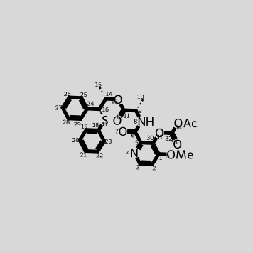 COc1ccnc(C(=O)N[C@@H](C)C(=O)O[C@@H](C)[C@H](Sc2ccccc2)c2ccccc2)c1OC(=O)OC(C)=O